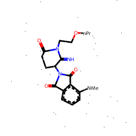 CCCOCCN1C(=N)C(N2C(=O)c3cccc(NC)c3C2=O)CCC1=O